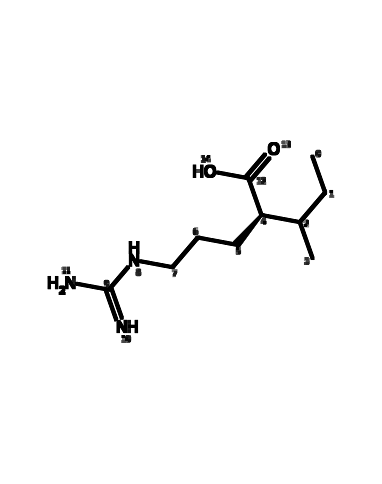 CCC(C)[C@@H](CCCNC(=N)N)C(=O)O